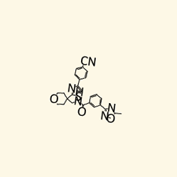 Cc1nc(-c2cccc(C(=O)NCC3(c4nc(-c5ccc(C#N)cc5)cs4)CCOCC3)c2)no1